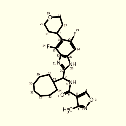 Cc1nocc1C(=O)NC(c1nc2c(F)c(C3CCOCC3)c(F)cc2[nH]1)C1CCCCCCC1